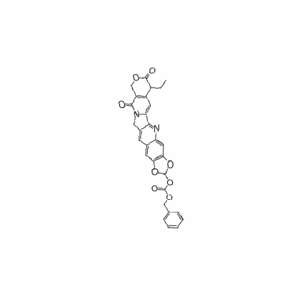 CCC1C(=O)OCc2c1cc1n(c2=O)Cc2cc3cc4c(cc3nc2-1)O[C@@H](OC(=O)OCc1ccccc1)O4